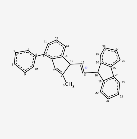 CC1=Cc2c(-c3ccccc3)cccc2C1/C=C/C1c2ccccc2-c2ccccc21